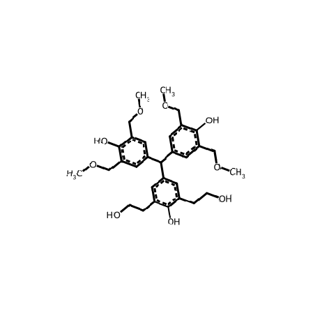 COCc1cc(C(c2cc(CCO)c(O)c(CCO)c2)c2cc(COC)c(O)c(COC)c2)cc(COC)c1O